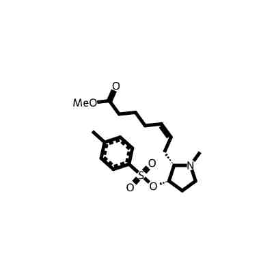 COC(=O)CCC/C=C\C[C@H]1[C@@H](OS(=O)(=O)c2ccc(C)cc2)CCN1C